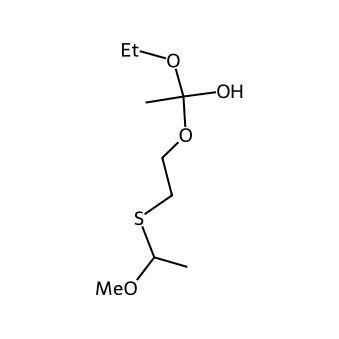 CCOC(C)(O)OCCSC(C)OC